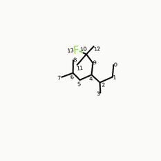 CCC(C)C(CC(C)C)CC(C)(C)F